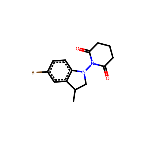 CC1CN(N2C(=O)CCCC2=O)c2ccc(Br)cc21